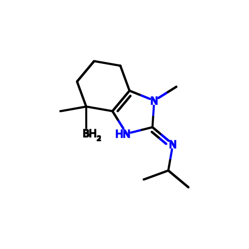 BC1(C)CCCc2c1[nH]/c(=N\C(C)C)n2C